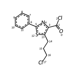 O=C(Cl)c1nc(-c2ccccc2)sc1CCCCl